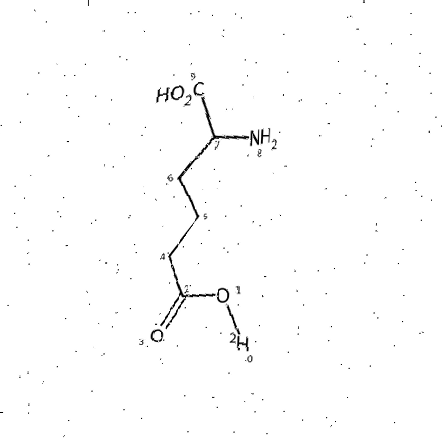 [2H]OC(=O)CCCC(N)C(=O)O